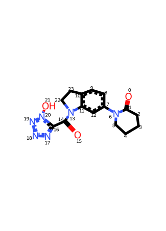 O=C1CCCCN1c1ccc2c(c1)N(C(=O)c1nnnn1O)CC2